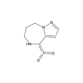 O=S(=O)=C1NCCCn2nccc21